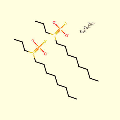 CCCCCCCCS(CCC)=P([O-])([O-])[S-].CCCCCCCCS(CCC)=P([O-])([O-])[S-].[Zn+2].[Zn+2].[Zn+2]